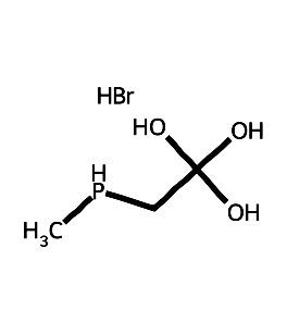 Br.CPCC(O)(O)O